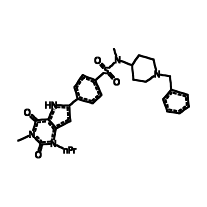 CCCn1c(=O)n(C)c(=O)c2[nH]c(-c3ccc(S(=O)(=O)N(C)C4CCN(Cc5ccccc5)CC4)cc3)cc21